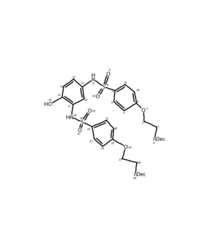 CCCCCCCCCCCCOc1ccc(S(=O)(=O)Nc2ccc(O)c(NS(=O)(=O)c3ccc(OCCCCCCCCCCCC)cc3)c2)cc1